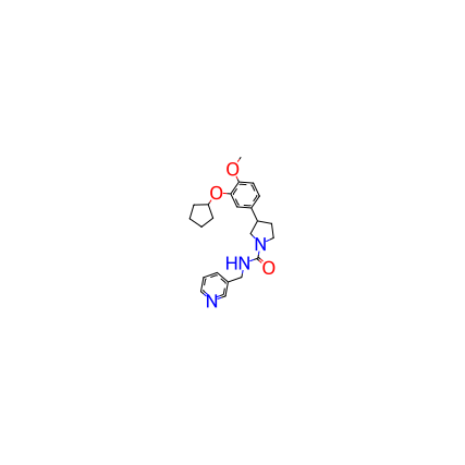 COc1ccc(C2CCN(C(=O)NCc3cccnc3)C2)cc1OC1CCCC1